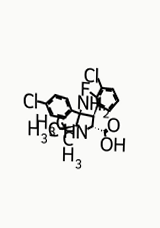 CC(C)(C)[C@@H]1N[C@@H](C(=O)O)[C@H](c2cccc(Cl)c2F)[C@@]1(N)c1ccc(Cl)cc1